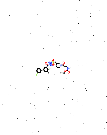 Cc1cc(-c2cccc(F)c2)cc(C(=O)NNS(=O)(=O)CC2CCCN(C(=O)CCN(C)C(=O)OC(C)(C)C)C2)c1F